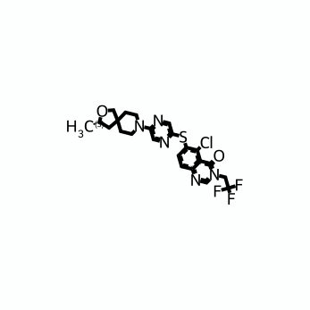 C[C@H]1CC2(CCN(c3cnc(Sc4ccc5ncn(CC(F)(F)F)c(=O)c5c4Cl)cn3)CC2)CO1